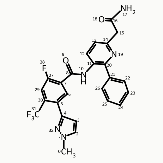 Cn1ccc(-c2cc(C(=O)Nc3ccc(CC(N)=O)nc3-c3ccccc3)c(F)cc2C(F)(F)F)n1